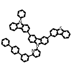 c1ccc(-c2ccc(-c3cccc(-c4cccc(-n5c6ccc(-c7ccc8sc9ccccc9c8c7)cc6c6cc(-c7ccc8c(c7)c7ccccc7n8-c7ccccc7)ccc65)n4)c3)cc2)cc1